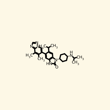 Cc1c(-c2cc3[nH]c(=O)n([C@H]4CC[C@@H](NC(C)C)CC4)c3cc2C(C)C)cn2ncnc2c1C